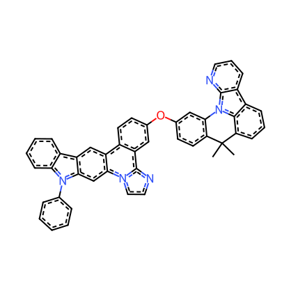 CC1(C)c2ccc(Oc3ccc4c5cc6c7ccccc7n(-c7ccccc7)c6cc5n5ccnc5c4c3)cc2-n2c3ncccc3c3cccc1c32